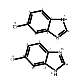 Clc1ccc2[nH]cnc2c1.Clc1ccc2nc[nH]c2c1